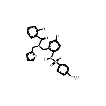 CCOC(=O)c1ccc(S(=O)(=O)N(CC)c2ccc(Cl)cc2CN(Cc2ccco2)C(=O)c2ccccc2Cl)cc1